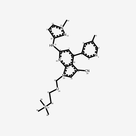 Cc1cncc(-c2cc(Nc3ccn(C)n3)nc3c2c(C#N)cn3COCCS(C)(C)C)c1